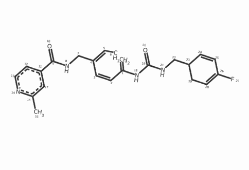 C=C(/C=C\C(=C/C)CNC(=O)c1ccnc(C)c1)NC(=O)NCC1C=CC(F)=CC1